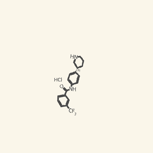 Cl.O=C(Nc1ccc([C@H]2CCCNC2)cc1)c1cccc(C(F)(F)F)c1